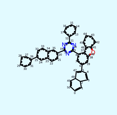 C1=CC2C=CC(c3cc(-c4nc(-c5ccccc5)nc(-c5ccc6cc(-c7ccccc7)ccc6c5)n4)c4c(c3)oc3ccccc34)=CC2C=C1